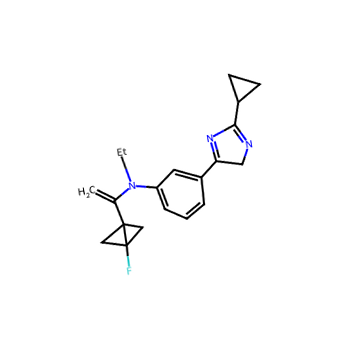 C=C(N(CC)c1cccc(C2=NC(C3CC3)=NC2)c1)C12CC1(F)C2